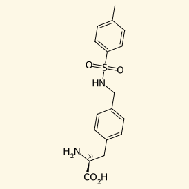 Cc1ccc(S(=O)(=O)NCc2ccc(C[C@H](N)C(=O)O)cc2)cc1